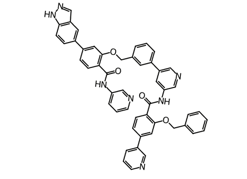 O=C(Nc1cncc(-c2cccc(COc3cc(-c4ccc5[nH]ncc5c4)ccc3C(=O)Nc3cccnc3)c2)c1)c1ccc(-c2cccnc2)cc1OCc1ccccc1